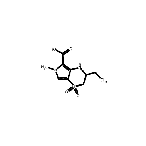 CCC1CS(=O)(=O)c2cn(C)c(C(=O)O)c2N1